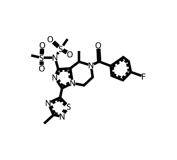 Cc1nsc(-c2nc(N(S(C)(=O)=O)S(C)(=O)=O)c3n2CCN(C(=O)c2ccc(F)cc2)C3C)n1